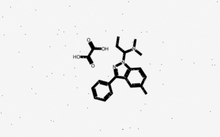 CCC(N(C)C)n1nc(-c2ccccc2)c2cc(C)ccc21.O=C(O)C(=O)O